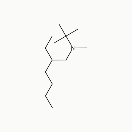 CCCCC(CC)CN(C)C(C)(C)C